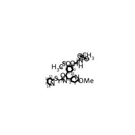 COc1ccc(-c2nc(CSc3ccccn3)oc2-c2ccc(OCCNS(C)(=O)=O)cc2)cn1.CS(=O)(=O)O